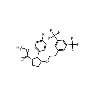 COC(=O)[C@@H]1CC[C@H](OCCc2cc(C(F)(F)F)cc(C(F)(F)F)c2)[C@H]1c1ccc(F)cc1